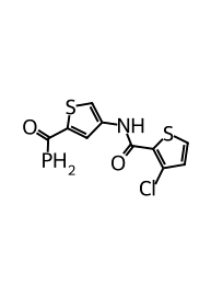 O=C(P)c1cc(NC(=O)c2sccc2Cl)cs1